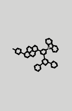 Cc1ccc(-c2ccc3ccc4c(-c5cc(-c6cc(-c7ccccc7)cc(-c7ccccc7)c6)cc(-n6c7ccccc7c7ccccc76)c5)ccc5ccc2c3c54)cc1